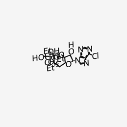 CCC(CC)(CC1O[C@@H](n2cnc3c(Cl)ncnc32)[C@H](O)[C@@H]1O)OP(=O)(O)C(C)(O)CC